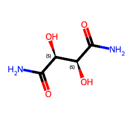 NC(=O)[C@@H](O)[C@H](O)C(N)=O